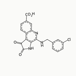 O=C1Nc2c(NCc3cccc(Cl)c3)nc3cc(C(=O)O)ccc3c2C1=O